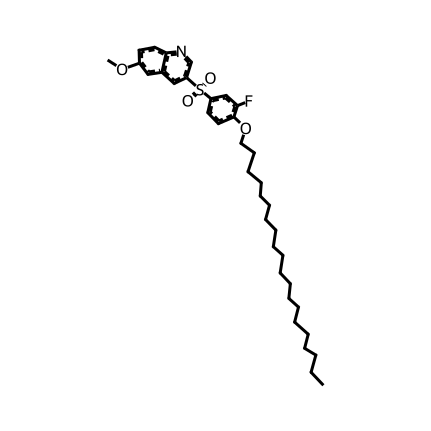 CCCCCCCCCCCCCCCCCCCCOc1ccc(S(=O)(=O)c2cnc3ccc(OC)cc3c2)cc1F